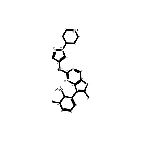 COC1C(c2c(C)sc3cnc(Nc4cnn(C5CCNCC5)c4)nc23)=CC=CC1C